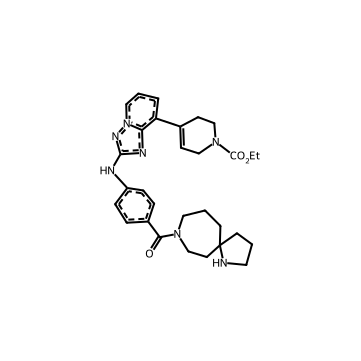 CCOC(=O)N1CC=C(c2cccn3nc(Nc4ccc(C(=O)N5CCCC6(CCCN6)CC5)cc4)nc23)CC1